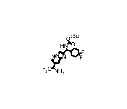 CC(C)(C)OC(=O)N[C@H](c1cn2ncc(C(N)C(F)(F)F)cc2n1)C1CCC(F)(F)CC1